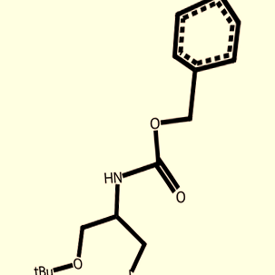 CC(C)(C)OCC(CI)NC(=O)OCc1ccccc1